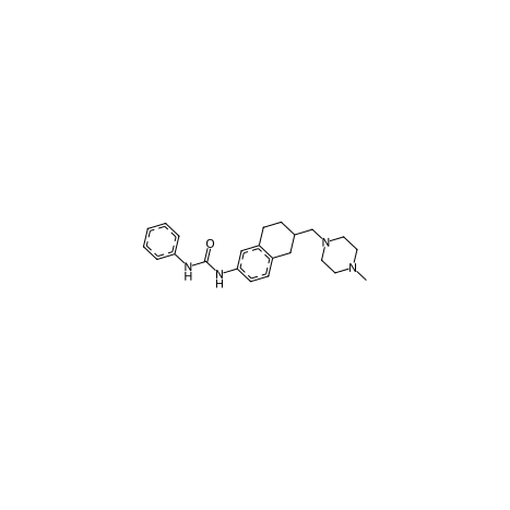 CN1CCN(CC2CCc3cc(NC(=O)Nc4ccccc4)ccc3C2)CC1